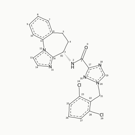 O=C(N[C@H]1CCc2ccccc2-n2ccnc21)c1ncn(Cc2c(Cl)cccc2Cl)n1